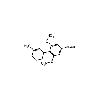 CCCCCc1cc(O[N+](=O)[O-])c(C2C=C(C)CCC2)c(O[N+](=O)[O-])c1